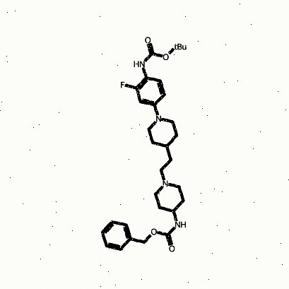 CC(C)(C)OC(=O)Nc1ccc(N2CCC(CCN3CCC(NC(=O)OCc4ccccc4)CC3)CC2)cc1F